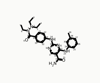 CCN(CC)N(CC)C(=O)c1ccc(Nc2ncc(C(N)=O)c(Nc3cccc(C)c3)n2)cc1